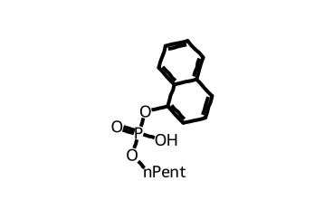 CCCCCOP(=O)(O)Oc1cccc2ccccc12